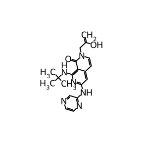 C=C(O)Cn1ccc2cc(Nc3cnccn3)nc(NC(C)(C)C)c2c1=O